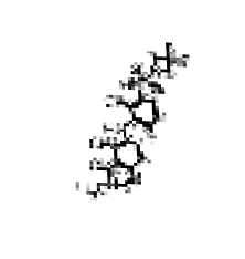 Cn1cnc2ccc(Nc3c(F)ccc(NS(=O)(=O)N4CC(F)(F)C4)c3Cl)c(Cl)c2c1=O